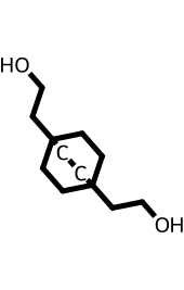 OCCC12CCC(CCO)(CC1)CC2